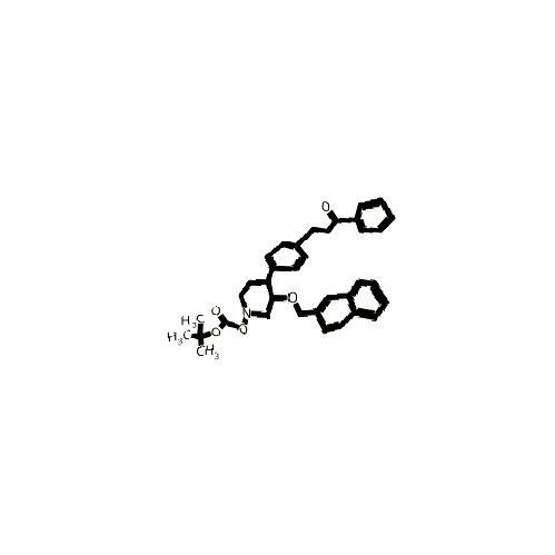 CC(C)(C)OC(=O)ON1CCC(c2ccc(CCC(=O)c3ccccc3)cc2)C(OCc2ccc3ccccc3c2)C1